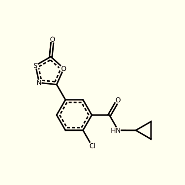 O=C(NC1CC1)c1cc(-c2nsc(=O)o2)ccc1Cl